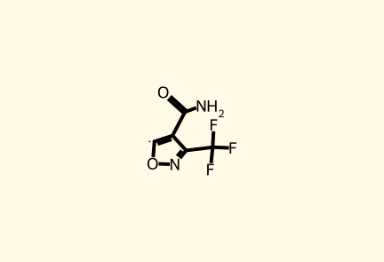 NC(=O)c1[c]onc1C(F)(F)F